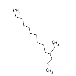 C=CCC(CC)CCCCCCCCCC